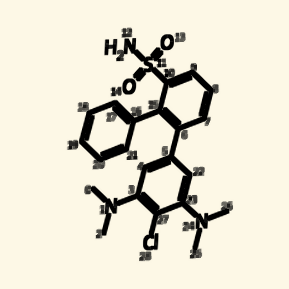 CN(C)c1cc(-c2cccc(S(N)(=O)=O)c2-c2ccccc2)cc(N(C)C)c1Cl